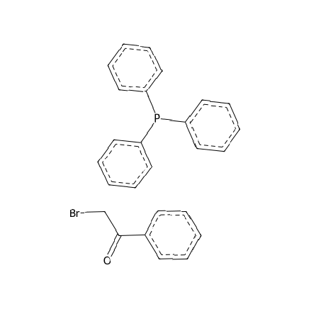 O=C(CBr)c1ccccc1.c1ccc(P(c2ccccc2)c2ccccc2)cc1